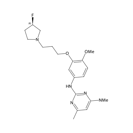 CNc1cc(C)nc(Nc2ccc(OC)c(OCCCN3CC[C@@H](F)C3)c2)n1